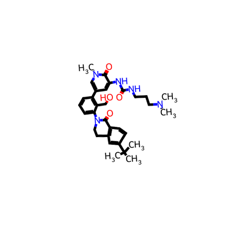 CN(C)CCCNC(=O)Nc1cc(-c2cccc(N3CCc4cc(C(C)(C)C)ccc4C3=O)c2CO)cn(C)c1=O